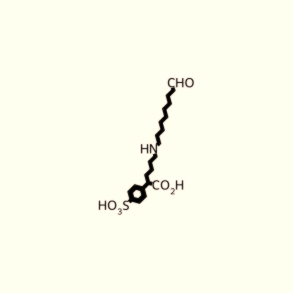 O=CCCCCCCCCCNCCCCC(C(=O)O)c1ccc(S(=O)(=O)O)cc1